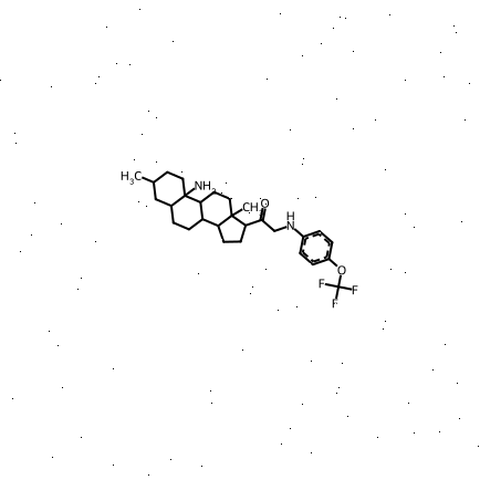 CC1CCC2(N)C(CCC3C4CCC(C(=O)CNc5ccc(OC(F)(F)F)cc5)C4(C)CCC32)C1